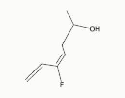 C=C/C(F)=C\CC(C)O